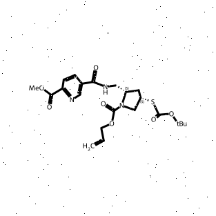 C=CCOC(=O)N1C[C@@H](SC(=O)OC(C)(C)C)C[C@H]1CNC(=O)c1ccc(C(=O)OC)nc1